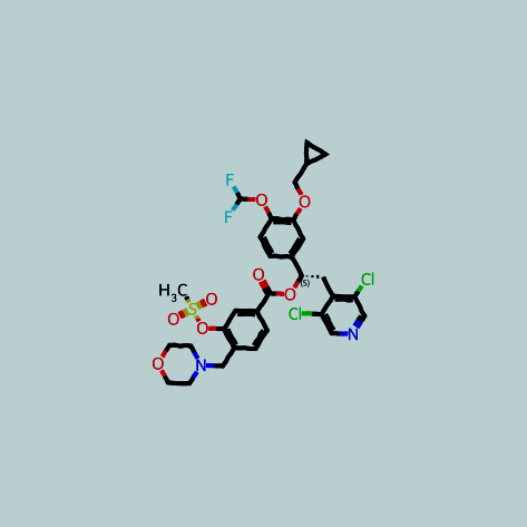 CS(=O)(=O)Oc1cc(C(=O)O[C@@H](Cc2c(Cl)cncc2Cl)c2ccc(OC(F)F)c(OCC3CC3)c2)ccc1CN1CCOCC1